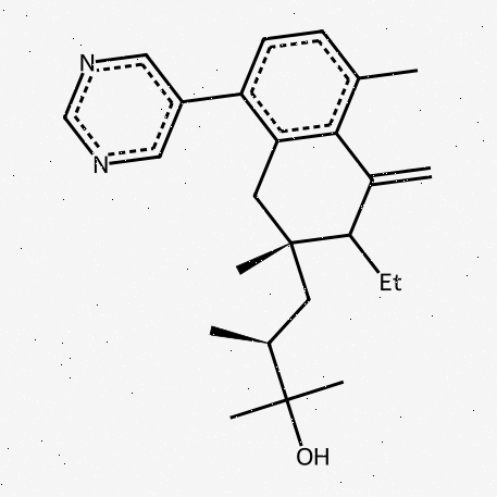 C=C1c2c(C)ccc(-c3cncnc3)c2C[C@@](C)(C[C@H](C)C(C)(C)O)C1CC